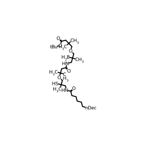 BC(C)(CNC(=O)CC(C)(C)OCC(C)(S)CNC(=O)CCCCCCCCCCCCCCC)COCC(C)(C)CC(=O)OC(C)(C)C